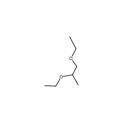 CCOC[C](C)OCC